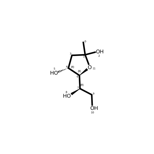 CC1(O)C[C@@H](O)[C@H]([C@H](O)CO)O1